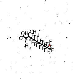 C=C(C(=O)O)C(CC)C(F)(F)C(F)(F)C(F)(F)C(F)(F)C(F)(F)C(F)(F)C(F)(C(F)(F)F)C(F)(F)F